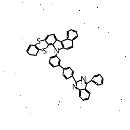 C1=CC2=C(CC1)Sc1c(ccc3c4c5ccccc5ccc4n(-c4cccc(-c5ccc(-c6nc(-c7ccccc7)c7ccccc7n6)cc5)c4)c13)S2